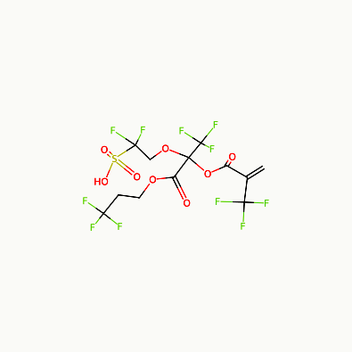 C=C(C(=O)OC(OCC(F)(F)S(=O)(=O)O)(C(=O)OCCC(F)(F)F)C(F)(F)F)C(F)(F)F